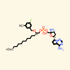 CCCCCCCCCCCCCCCCCCCC[C@H](COP(=O)(O)OC[C@]1(N)CC[C@H](c2ccc3c(N)ncnn23)O1)OCc1cc(F)cc(C#N)c1